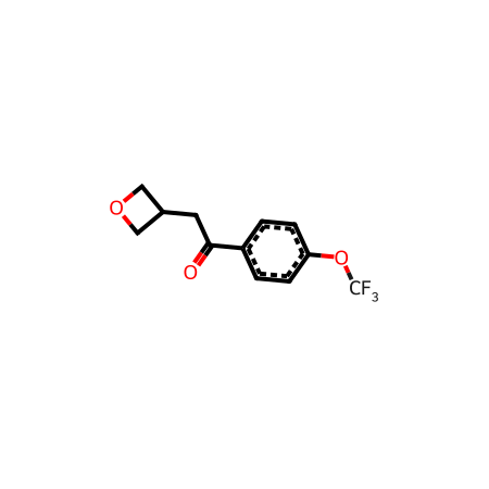 O=C(CC1COC1)c1ccc(OC(F)(F)F)cc1